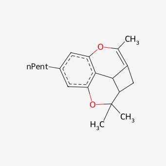 CCCCCc1cc2c3c(c1)OC(C)(C)C1CC(=C(C)O2)C31